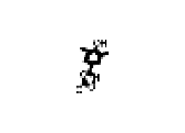 Cc1cc(-c2noc(=O)o2)cc(C)c1O